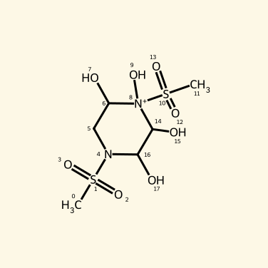 CS(=O)(=O)N1CC(O)[N+](O)(S(C)(=O)=O)C(O)C1O